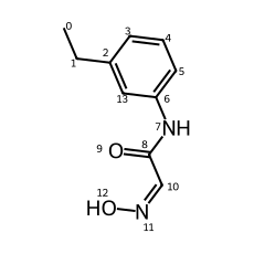 CCc1cccc(NC(=O)/C=N\O)c1